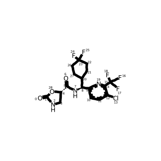 O=C1NC[C@@H](C(=O)N[C@H](c2ccc(Cl)c(C(F)(F)F)n2)C2CCC(F)(F)CC2)O1